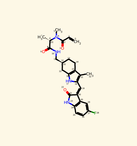 C=CC(=O)N(C)[C@@H](C)C(=O)NC[C@H]1CCc2c([nH]c(C=C3C(=O)Nc4ccc(F)cc43)c2C)C1